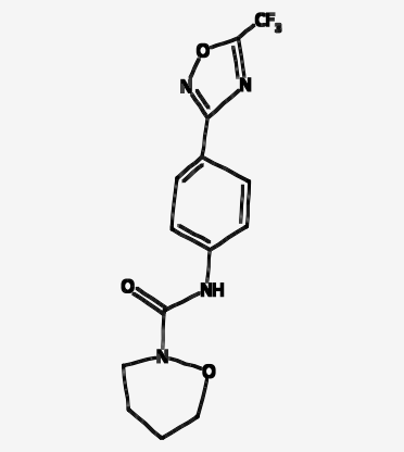 O=C(Nc1ccc(-c2noc(C(F)(F)F)n2)cc1)N1CCCCO1